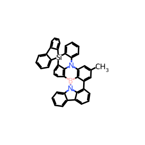 Cc1cc2c3c(c1)N1c4ccccc4[Si]4(c5ccccc5-c5ccccc54)c4cccc(c41)B3n1c3ccccc3c3cccc-2c31